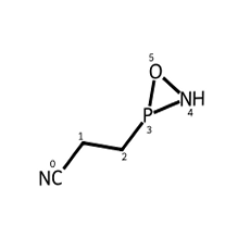 N#CCCp1[nH]o1